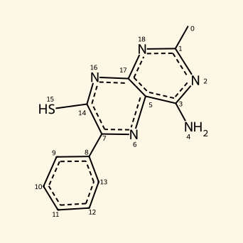 Cc1nc(N)c2nc(-c3ccccc3)c(S)nc2n1